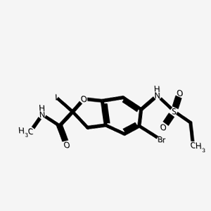 CCS(=O)(=O)Nc1cc2c(cc1Br)CC(I)(C(=O)NC)O2